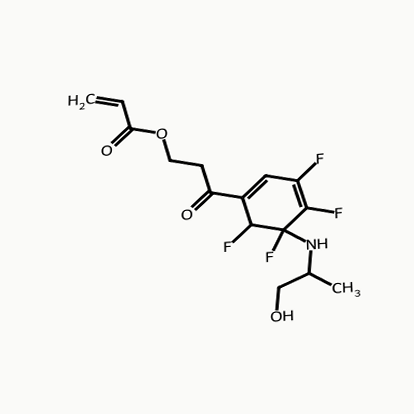 C=CC(=O)OCCC(=O)C1=CC(F)=C(F)C(F)(NC(C)CO)C1F